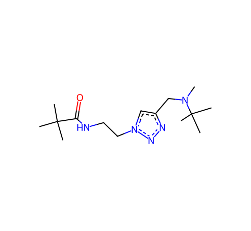 CN(Cc1cn(CCNC(=O)C(C)(C)C)nn1)C(C)(C)C